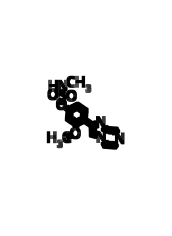 CNS(=O)(=O)Oc1ccc(-c2cn3ccncc3n2)c(OC)c1